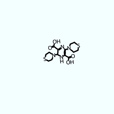 O=C(O)C1=NC(N2CCSCC2)=C(C(=O)O)NC1N1CCSCC1